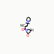 [2H]C1CC(=O)CN(C(=O)C(C#N)=CC(C)(C)N2CCCCC2)C1